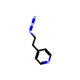 [N-]=[N+]=NCCc1ccncc1